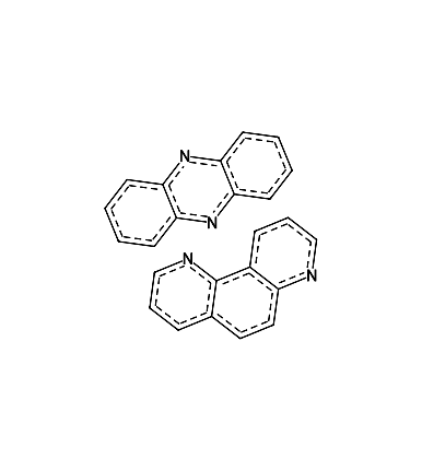 c1ccc2nc3ccccc3nc2c1.c1cnc2c(c1)ccc1ncccc12